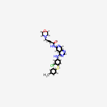 Cc1ccc(Sc2ccc(Nc3ncnc4cnc(NC(=O)C#CCN5CCOCC5)cc34)cc2Cl)cc1